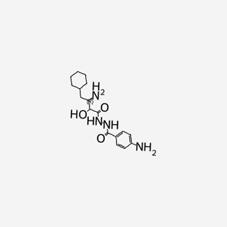 Nc1ccc(C(=O)NNC(=O)C(O)[C@H](N)CC2CCCCC2)cc1